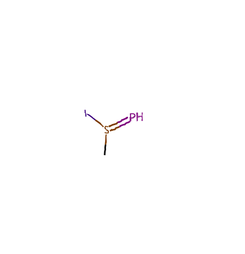 CS(=P)I